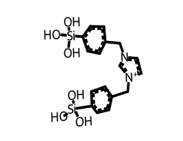 O[Si](O)(O)c1ccc(Cn2cc[n+](Cc3ccc([Si](O)(O)O)cc3)c2)cc1